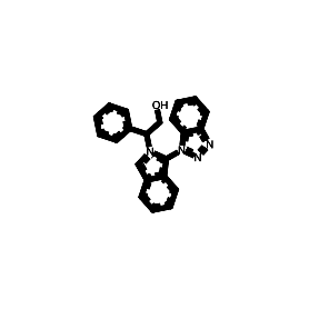 OCC(c1ccccc1)n1cc2ccccc2c1-n1nnc2ccccc21